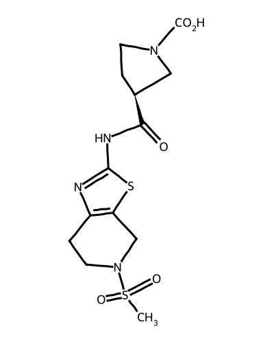 CS(=O)(=O)N1CCc2nc(NC(=O)[C@H]3CCN(C(=O)O)C3)sc2C1